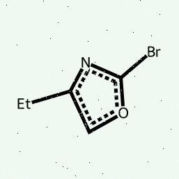 CCc1coc(Br)n1